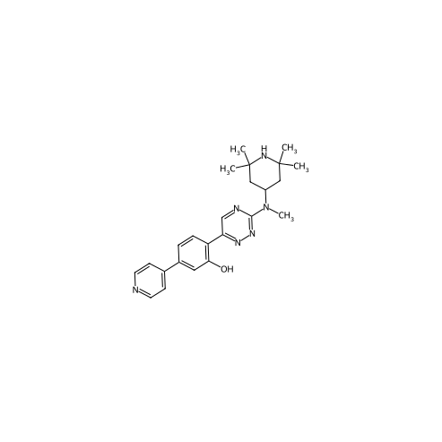 CN(c1ncc(-c2ccc(-c3ccncc3)cc2O)nn1)C1CC(C)(C)NC(C)(C)C1